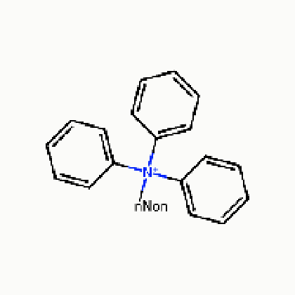 CCCCCCCCC[N+](c1ccccc1)(c1ccccc1)c1ccccc1